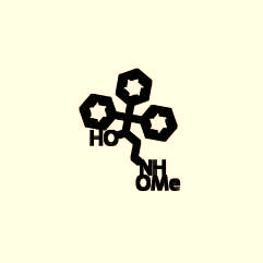 CONCCC(O)C(c1ccccc1)(c1ccccc1)c1ccccc1